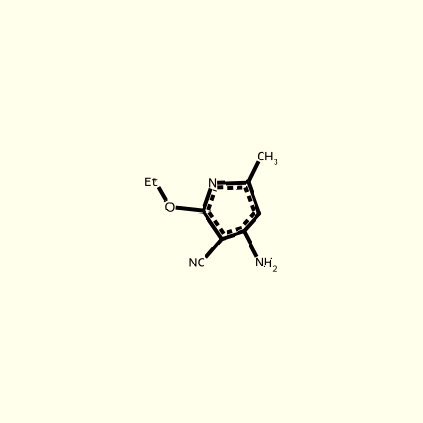 CCOc1nc(C)cc(N)c1C#N